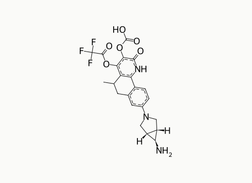 CC1Cc2cc(N3C[C@@H]4[C@@H](N)[C@@H]4C3)ccc2-c2[nH]c(=O)c(OC(=O)O)c(OC(=O)C(F)(F)F)c21